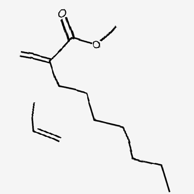 C=C(CCCCCCC)C(=O)OC.C=CC